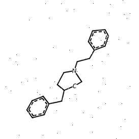 c1ccc(CCN2CCC(Cc3ccccc3)CC2)cc1